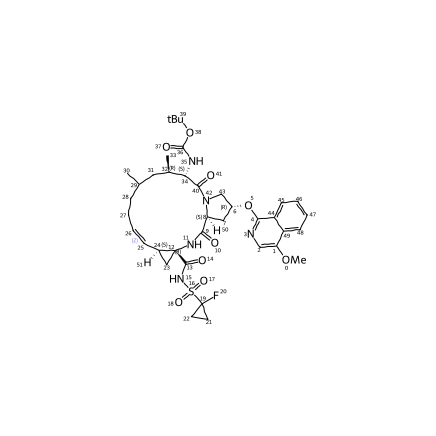 COc1cnc(O[C@@H]2C[C@H]3C(=O)N[C@]4(C(=O)NS(=O)(=O)C5(F)CC5)C[C@H]4/C=C\CCC(C)C[C@@H](C)[C@H](NC(=O)OC(C)(C)C)C(=O)N3C2)c2ccccc12